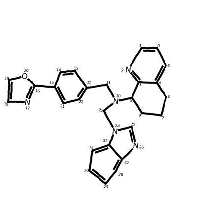 c1cnc2c(c1)CCCC2N(Cc1ccc(-c2ncco2)cc1)Cn1cnc2ccccc21